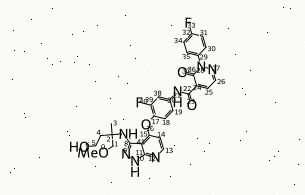 COCC(C)(CCO)Nc1n[nH]c2nccc(Oc3ccc(NC(=O)c4ccnn(-c5ccc(F)cc5)c4=O)cc3F)c12